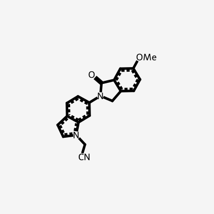 COc1ccc2c(c1)C(=O)N(c1ccc3ccn(CC#N)c3c1)C2